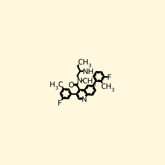 CCC(N)CN(C)C(=O)c1c(-c2cc(C)cc(F)c2)cnc2ccc(-c3cccc(F)c3C)cc12